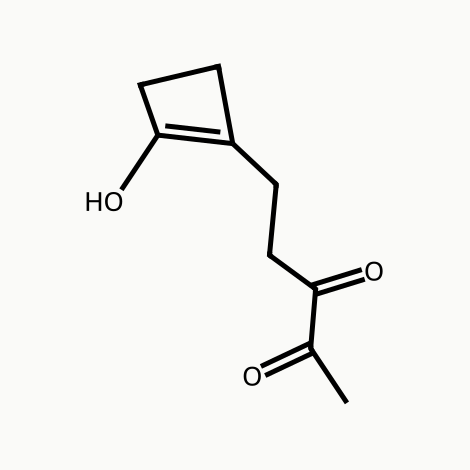 CC(=O)C(=O)CCC1=C(O)CC1